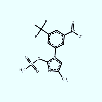 Cc1cn(-c2cc([N+](=O)[O-])cc(C(F)(F)F)c2)c(OS(C)(=O)=O)n1